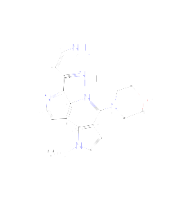 CSn1ccc2c(N3CCOC[C@H]3C)nc3c(C(=N)/C=C\N)nccc3c21